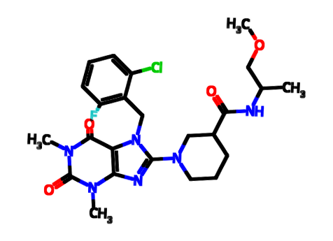 COCC(C)NC(=O)C1CCCN(c2nc3c(c(=O)n(C)c(=O)n3C)n2Cc2c(F)cccc2Cl)C1